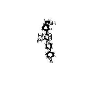 CC(C)[C@@H](NC(=O)c1ccc2cc[nH]c2c1)C(=O)N1CCN(C2CCN(C)CC2)CC1